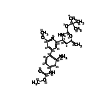 C=CC[C@H](NC(=O)OC(C)(C)C)c1cc(-c2ccc(NC(=O)OC)cc2N)cc(OC)n1